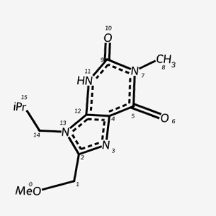 COCc1nc2c(=O)n(C)c(=O)[nH]c2n1CC(C)C